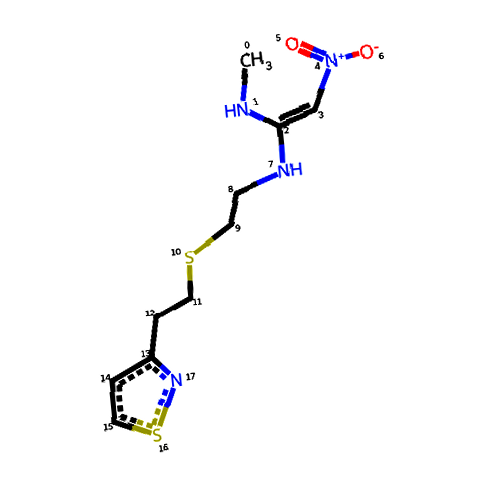 CNC(=C[N+](=O)[O-])NCCSCCc1ccsn1